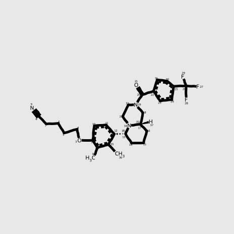 Cc1c(OCCCCC#N)ccc([C@H]2CCC[C@H]3CN(C(=O)c4ccc(C(F)(F)F)cc4)CCN32)c1C